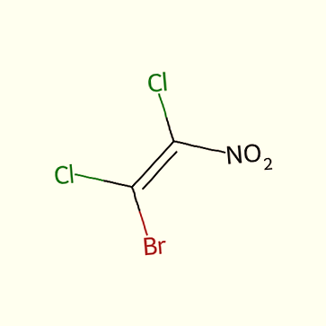 O=[N+]([O-])/C(Cl)=C(/Cl)Br